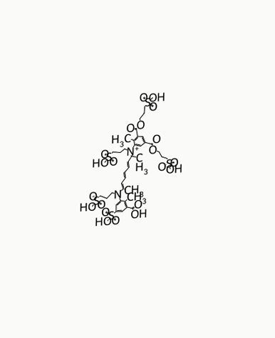 C\C(=C/C=C/C=C/C(C)=[N+](\CCCS(=O)(=O)O)c1cc(C(=O)OCCCS(=O)(=O)O)cc(C(=O)OCCCS(=O)(=O)O)c1C)N(CCCS(=O)(=O)O)c1cc(S(=O)(=O)O)cc(C(=O)O)c1C